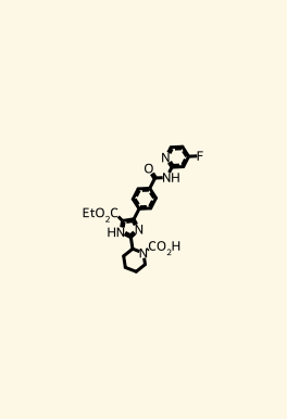 CCOC(=O)c1[nH]c(C2CCCCN2C(=O)O)nc1-c1ccc(C(=O)Nc2cc(F)ccn2)cc1